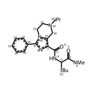 CNC(=O)C(NC(=O)c1nc(-c2ccccc2)n2c1CN(C(C)C)CC2)C(C)(C)C